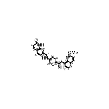 COc1ccc2nccc(C[C@@H](N)[C@H]3CC[C@H](NCc4ccc5c(n4)NC(=O)CS5)CO3)c2n1